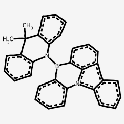 CC1(C)c2ccccc2N(B2c3ccccc3-n3c4ccccc4c4cccc2c43)c2ccccc21